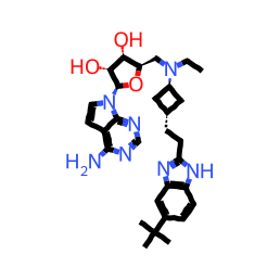 CCN(C[C@H]1O[C@@H](n2ccc3c(N)ncnc32)[C@H](O)[C@@H]1O)[C@H]1C[C@@H](CCc2nc3cc(C(C)(C)C)ccc3[nH]2)C1